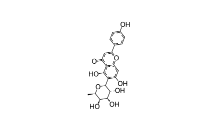 C[C@H]1OC(c2c(O)cc3oc(-c4ccc(O)cc4)cc(=O)c3c2O)[C@H](O)[C@@H](O)[C@H]1O